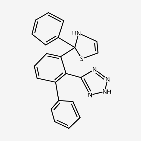 C1=CSC(c2ccccc2)(c2cccc(-c3ccccc3)c2-c2nn[nH]n2)N1